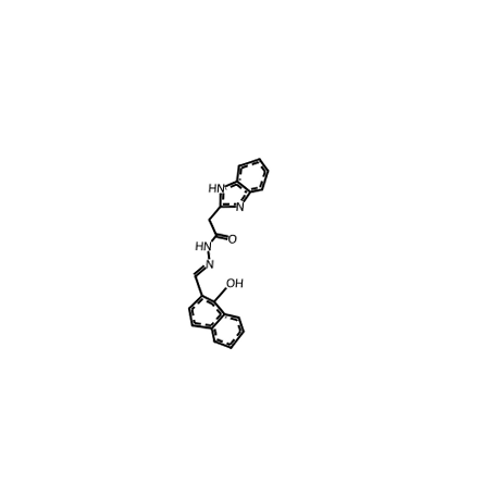 O=C(Cc1nc2ccccc2[nH]1)NN=Cc1ccc2ccccc2c1O